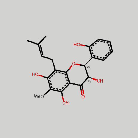 COc1c(O)c(CC=C(C)C)c2c(c1O)C(=O)[C@H](O)[C@@H](c1ccccc1O)O2